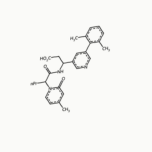 CCCC(C(=O)NC(CC(=O)O)c1cncc(-c2c(C)cccc2C)c1)n1ccc(C)cc1=O